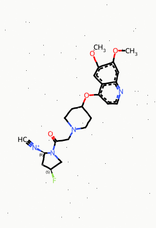 C#[N+][C@@H]1C[C@H](F)CN1C(=O)CN1CCC(Oc2ccnc3cc(OC)c(OC)cc23)CC1